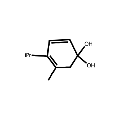 CC1=C(C(C)C)C=CC(O)(O)C1